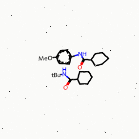 CC(C)(C)NC(=O)C1CCCCC1.COc1ccc(NC(=O)C2CCCCC2)cc1